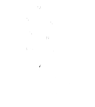 CC(C)(C)C(=O)OC[C@H]1O[C@@H](n2cnc3c(N)ncnc32)[C@@H](O)[C@@H]1O